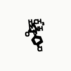 CC1NC(=O)N(c2ccc(Cl)cc2)N1